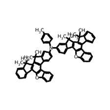 Cc1ccc(N(c2ccc3c(c2)C(C)(C)c2c4c(c5c(oc6ccccc65)c2-3)-c2ccccc2C4(C)C)c2ccc3c(c2)C(C)(C)c2c4c(c5oc6ccccc6c5c2-3)-c2ccccc2C4(C)C)cc1